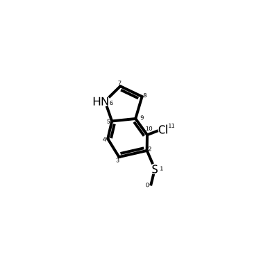 CSc1ccc2[nH]ccc2c1Cl